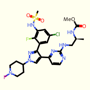 COC(=O)N[C@@H](C)CNc1nccc(-c2cn(C3CCN(I)CC3)nc2-c2cc(Cl)cc(NS(C)(=O)=O)c2F)n1